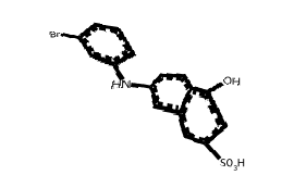 O=S(=O)(O)c1cc(O)c2ccc(Nc3cccc(Br)c3)cc2c1